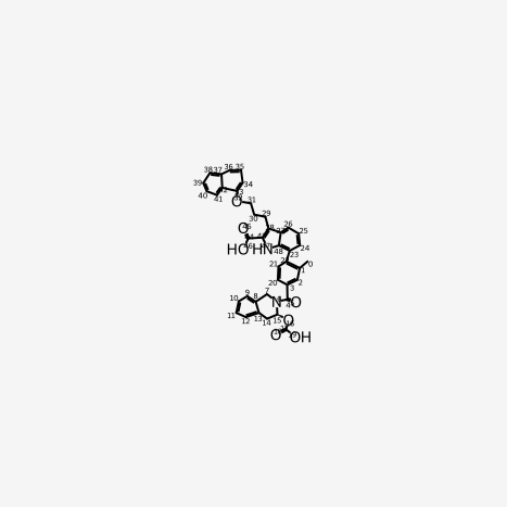 Cc1cc(C(=O)N2Cc3ccccc3C[C@@H]2OC(=O)O)ccc1-c1cccc2c(CCCOc3cccc4ccccc34)c(C(=O)O)[nH]c12